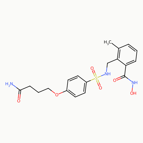 Cc1cccc(C(=O)NO)c1CNS(=O)(=O)c1ccc(OCCCC(N)=O)cc1